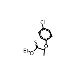 CCOC(=S)C(C)Oc1ccc(Cl)cc1